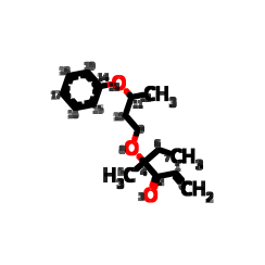 C=CC(=O)C(C)(CC)OCCC(C)Oc1ccccc1